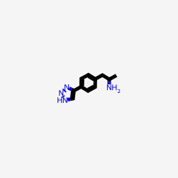 CC(N)Cc1ccc(-c2c[nH]nn2)cc1